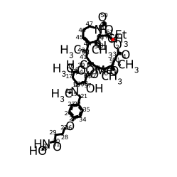 CC[C@H]1OC(=O)[C@H](C)C(=O)[C@H](C)[C@@H](O[C@@H]2O[C@H](C)C[C@H](N(C)Cc3ccc(OCCCC(=O)NO)cc3)[C@H]2O)[C@](C)(OC)C[C@@H](C)C2=CCCN3C(=O)O[C@@]1(C)[C@H]3[C@H]2C